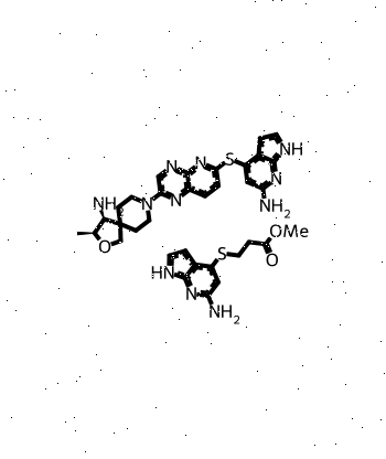 COC(=O)CCSc1cc(N)nc2[nH]ccc12.C[C@@H]1OCC2(CCN(c3cnc4nc(Sc5cc(N)nc6[nH]ccc56)ccc4n3)CC2)[C@@H]1N